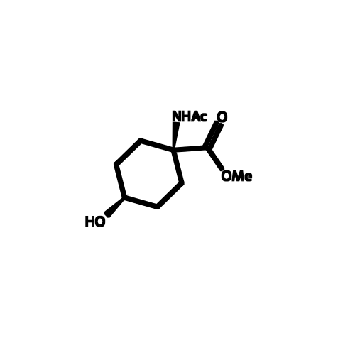 COC(=O)[C@]1(NC(C)=O)CC[C@@H](O)CC1